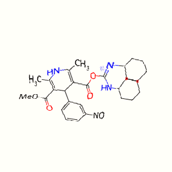 COC(=O)C1=C(C)NC(C)=C(C(=O)O/C(=N/C2CCCCC2)NC2CCCCC2)C1c1cccc(N=O)c1